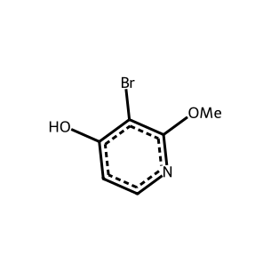 COc1nccc(O)c1Br